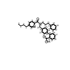 CCCCc1ccc(C(=O)N(CCCc2ccccc2)Cc2ccc(-c3ccccc3C(=O)O)cc2)nc1